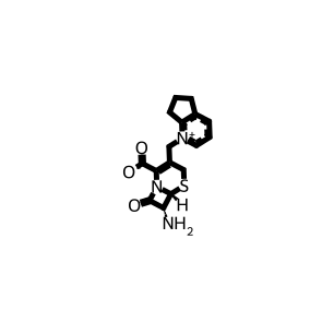 N[C@@H]1C(=O)N2C(C(=O)[O-])=C(C[n+]3cccc4c3CCC4)CS[C@H]12